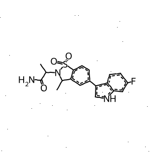 CC(C(N)=O)N1C(C)c2cc(-c3c[nH]c4cc(F)ccc34)ccc2S1(=O)=O